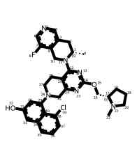 C[C@H]1Cc2cncc(F)c2CN1c1nc(OC[C@@H]2CCCN2C)nc2c1CCN(c1cc(O)cc3cccc(Cl)c13)C2